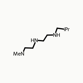 CNCCNCCNCC(C)C